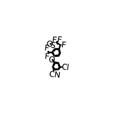 N#Cc1cc(Cl)cc(Oc2ccc3c(c2C(F)F)[S+]([O-])C(F)(F)[C@H]3F)c1